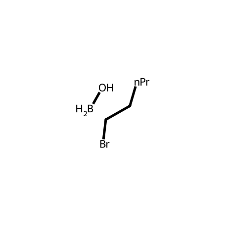 BO.CCCCCBr